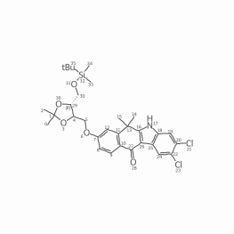 CC1(C)OC(COc2ccc3c(c2)C(C)(C)c2[nH]c4cc(Cl)c(Cl)cc4c2C3=O)[C@@H](CO[Si](C)(C)C(C)(C)C)O1